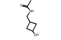 CCC(=O)NCC1CC(O)C1